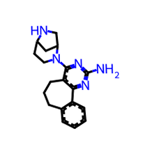 Nc1nc2c(c(N3CCC4CC3CN4)n1)CCCc1ccccc1-2